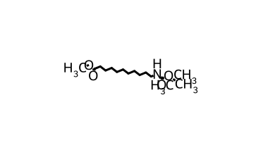 COC(=O)CCCCCCCCCCNC(=O)OC(C)(C)C